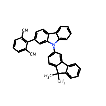 CC1(C)c2ccccc2-c2cc(-n3c4ccccc4c4ccc(-c5c(C#N)cccc5C#N)cc43)ccc21